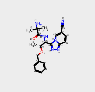 C[C@@H](OCc1ccccc1)[C@@H](NC(=O)C(C)(C)N)c1nnc2ccc(C#N)cn12